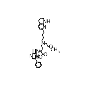 COCCN(CCCCc1ccc2c(n1)NCCC2)CC[C@H](Nc1cncc(-c2ccccc2)n1)C(=O)O